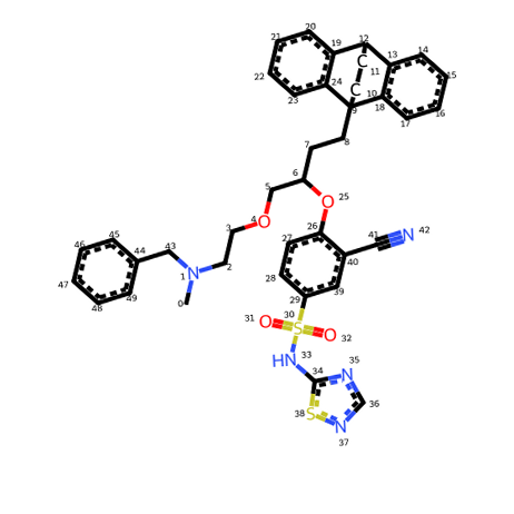 CN(CCOCC(CCC12CCC(c3ccccc31)c1ccccc12)Oc1ccc(S(=O)(=O)Nc2ncns2)cc1C#N)Cc1ccccc1